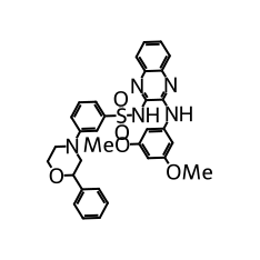 COc1cc(Nc2nc3ccccc3nc2NS(=O)(=O)c2cccc(N3CCOC(c4ccccc4)C3)c2)cc(OC)c1